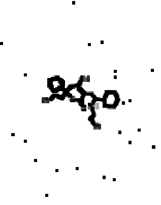 CC(C)CCNC(CC1=C(O)CC(CCC(C)C)(c2ccccc2)OC1=O)C1CCCCC1